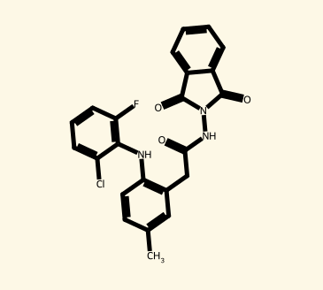 Cc1ccc(Nc2c(F)cccc2Cl)c(CC(=O)NN2C(=O)c3ccccc3C2=O)c1